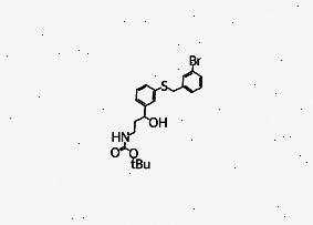 CC(C)(C)OC(=O)NCCC(O)c1cccc(SCc2cccc(Br)c2)c1